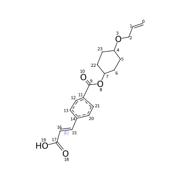 C=CCOC1CCC(OC(=O)c2ccc(/C=C/C(=O)O)cc2)CC1